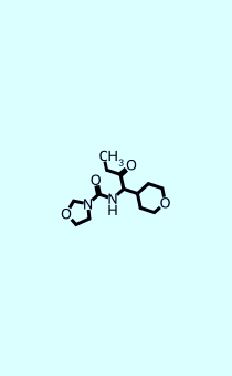 CCC(=O)C(NC(=O)N1CCOC1)C1CCOCC1